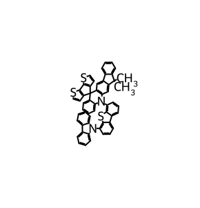 CC1(C)c2ccccc2-c2cc3c(cc21)N(c1cccc2c1sc1c(-n4c5ccccc5c5ccccc54)cccc12)c1ccccc1C31c2ccsc2-c2sccc21